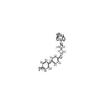 CC(C)(C)OC(=O)N1CC2(CC(Oc3ccc(-c4ccc(F)cc4)cc3)C2)C1